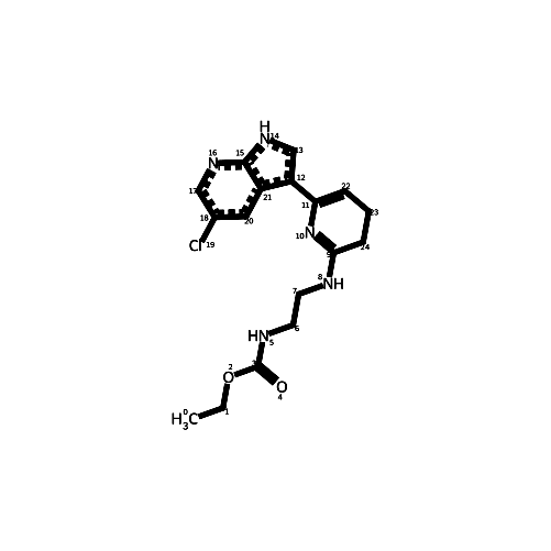 CCOC(=O)NCCNC1=NC(c2c[nH]c3ncc(Cl)cc23)=CCC1